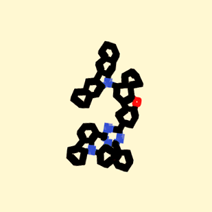 c1ccc(-c2nc(-c3ccc4oc5c6ccccc6c(-n6c7cc8ccccc8cc7c7cc8ccccc8cc76)cc5c4c3)nc(-c3cccc4c5ccccc5n(-c5ccccc5)c34)n2)cc1